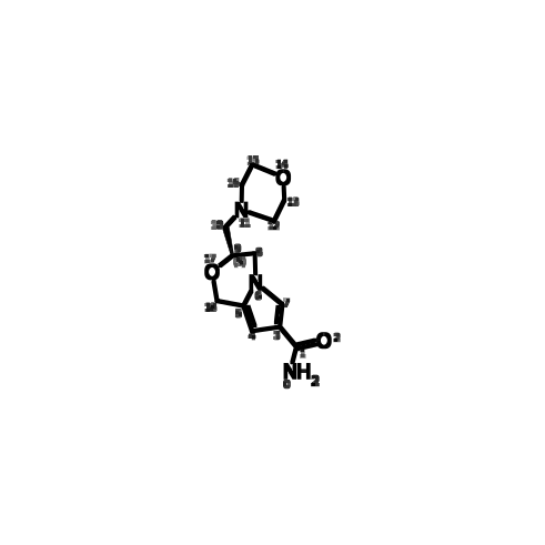 NC(=O)c1cc2n(c1)C[C@H](CN1CCOCC1)OC2